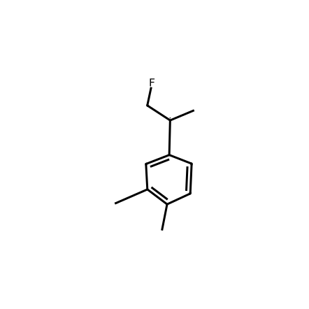 C[C](CF)c1ccc(C)c(C)c1